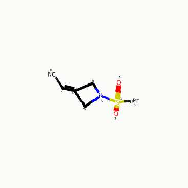 CCCS(=O)(=O)N1CC(=CC#N)C1